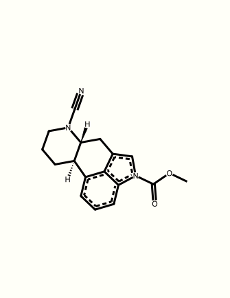 COC(=O)n1cc2c3c(cccc31)[C@H]1CCCN(C#N)[C@@H]1C2